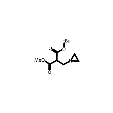 COC(=O)C(CN1CC1)C(=O)OC(C)(C)C